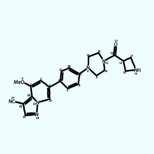 COc1cc(-c2ccc(N3CCN(C(=O)C4CNC4)CC3)cc2)cn2ncc(C#N)c12